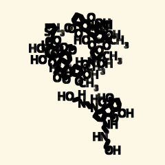 COc1cc([C@@H]2c3cc4c(cc3[C@@H](O[C@@H]3O[C@@H]5COC(c6cccs6)O[C@H]5[C@H](O)[C@H]3O)[C@H]3COC(=O)[C@H]23)OCO4)cc(OC)c1O.COc1cccc2c1C(=O)c1c(O)c3c(c(O)c1C2=O)C[C@@](O)(C(C)=O)C[C@@H]3O[C@H]1C[C@H](N)[C@H](O)[C@H](C)O1.Cl.Cl.O=C1c2c(O)ccc(O)c2C(=O)c2c(NCCNCCO)ccc(NCCNCCO)c21